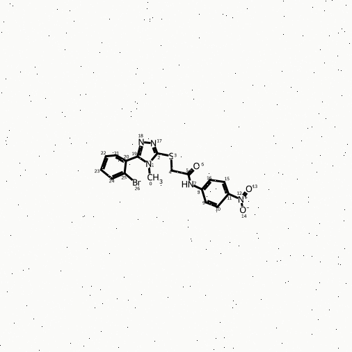 Cn1c(SCC(=O)Nc2ccc([N+](=O)[O-])cc2)nnc1-c1ccccc1Br